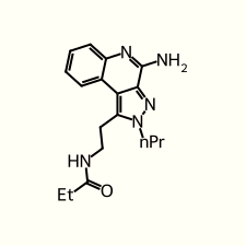 CCCn1nc2c(N)nc3ccccc3c2c1CCNC(=O)CC